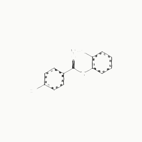 CCc1ccc(C(=O)Nc2ccccc2SC)cc1